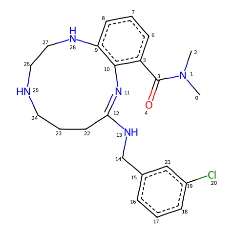 CN(C)C(=O)c1cccc2c1/N=C(/NCc1cccc(Cl)c1)CCCNCCN2